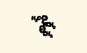 Cc1cccc(N(C)Cc2ccccc2C)c1